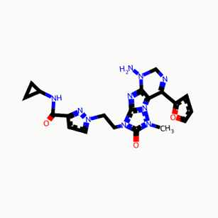 Cn1c(=O)n(CCn2ccc(C(=O)NC3CC3)n2)c2nc3c(n21)C(c1ccco1)=NCN3N